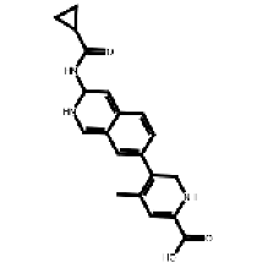 CC1=C(c2ccc3c(c2)=CNC(NC(=O)C2CC2)C=3)CNC(C(=O)O)=C1